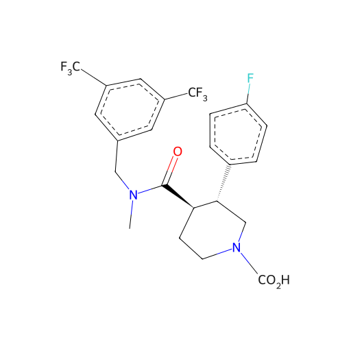 CN(Cc1cc(C(F)(F)F)cc(C(F)(F)F)c1)C(=O)[C@@H]1CCN(C(=O)O)C[C@H]1c1ccc(F)cc1